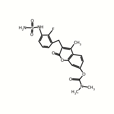 Cc1c(Cc2cccc(NS(N)(=O)=O)c2F)c(=O)oc2cc(OC(=O)N(C)C)ccc12